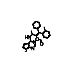 Cc1ccccc1/C(=C(\OC=O)C(C)Nc1ncnc2sccc12)c1ccccc1